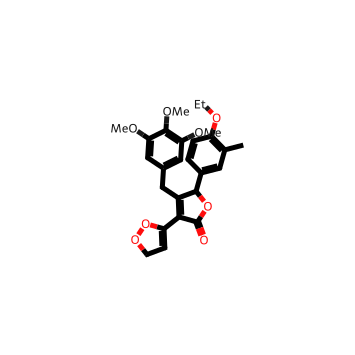 CCOc1ccc(C2OC(=O)C(C3=CCOO3)=C2Cc2cc(OC)c(OC)c(OC)c2)cc1C